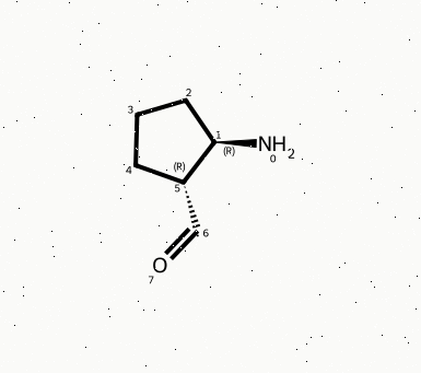 N[C@@H]1CCC[C@H]1[C]=O